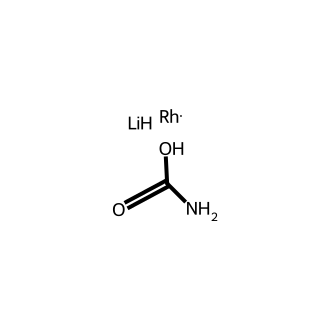 NC(=O)O.[LiH].[Rh]